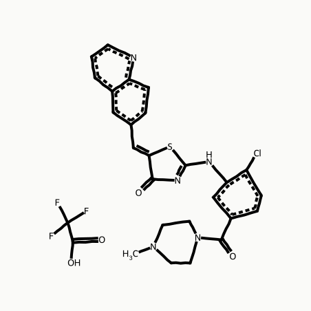 CN1CCN(C(=O)c2ccc(Cl)c(NC3=NC(=O)/C(=C/c4ccc5ncccc5c4)S3)c2)CC1.O=C(O)C(F)(F)F